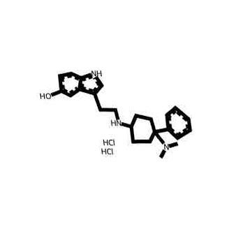 CN(C)C1(c2ccccc2)CCC(NCCc2c[nH]c3ccc(O)cc23)CC1.Cl.Cl